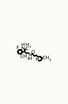 Cc1ccnc(/C=C/C(=O)NCCc2c(C)[nH]c3c(F)ccc(C)c23)c1